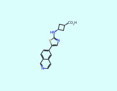 O=C(O)[C@H]1C[C@@H](Nc2ncc(-c3ccc4cnccc4c3)s2)C1